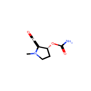 CN1CC[C@@H](OC(N)=O)C1=C=O